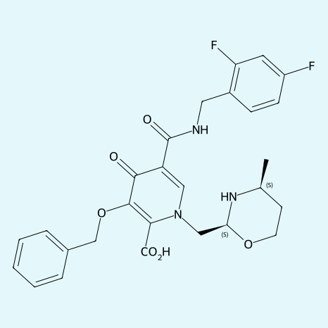 C[C@H]1CCO[C@@H](Cn2cc(C(=O)NCc3ccc(F)cc3F)c(=O)c(OCc3ccccc3)c2C(=O)O)N1